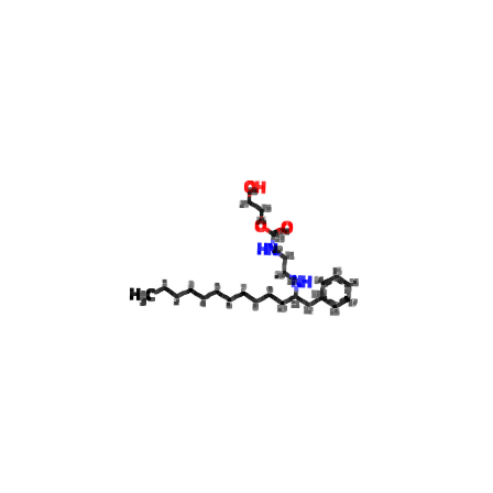 CCCCCCCCCCCC(Cc1ccccc1)NCCNC(=O)OCCO